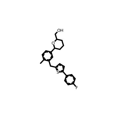 Cc1ccc(C2CCCC(CO)O2)cc1Cc1ccc(-c2ccc(F)cc2)s1